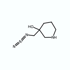 [N-]=[N+]=NCC1(O)CCCNC1